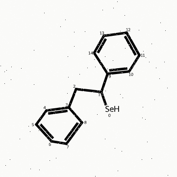 [SeH]C(Cc1ccccc1)c1ccccc1